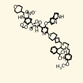 COc1ccc(CN2CCN(C3CC4(CCN(c5cc(Oc6cnc7[nH]ccc7c6)c(C(=O)NS(=O)(=O)c6cc([N+](=O)[O-])c(NCC7CCOCC7)c7c6OCO7)cn5)CC4)C3)C(c3ccccc3C(C)C)C2)cc1